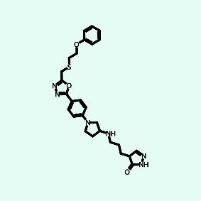 O=C1NN=CC1CCCNC1CCN(c2ccc(-c3nnc(CSCCOc4ccccc4)o3)cc2)C1